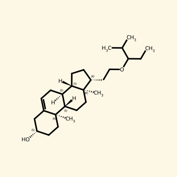 CCC(OCC[C@H]1CC[C@H]2[C@@H]3CC=C4C[C@@H](O)CC[C@]4(C)[C@H]3CC[C@]12C)C(C)C